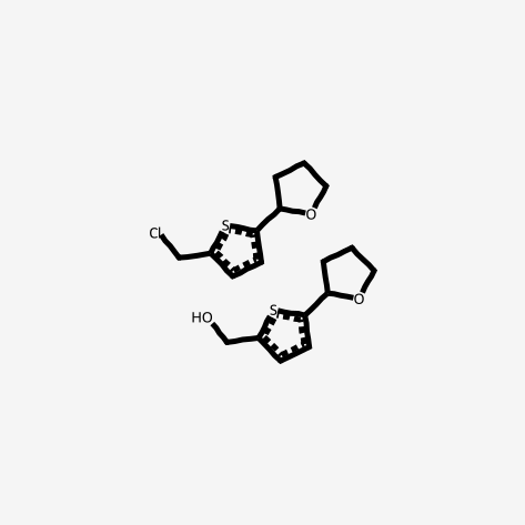 ClCc1ccc(C2CCCO2)s1.OCc1ccc(C2CCCO2)s1